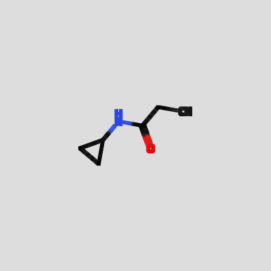 N#CCC(=O)NC1CC1